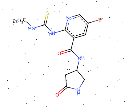 CCOC(=O)NC(=S)Nc1ncc(Br)cc1C(=O)NC1CNC(=O)C1